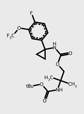 CC(C)(COC(=O)NC1(c2ccc(F)c(OC(F)(F)F)c2)CC1)NC(=O)OC(C)(C)C